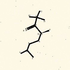 CC(C)CC[C@H](C)C(=S)C(C)(C)C